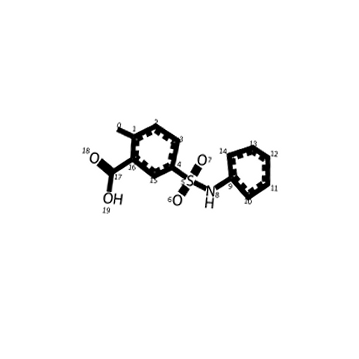 Cc1ccc(S(=O)(=O)Nc2ccccc2)cc1C(=O)O